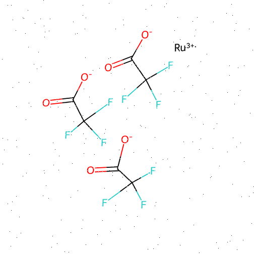 O=C([O-])C(F)(F)F.O=C([O-])C(F)(F)F.O=C([O-])C(F)(F)F.[Ru+3]